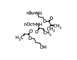 C=C(C)C(=O)OCCNCCCC.C=CC(=O)NCCCCCCCC.C=CC(=O)OCCCO